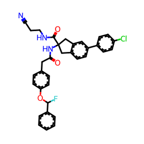 N#CCCNC(=O)C1(NC(=O)Cc2ccc(OC(F)c3ccccc3)cc2)Cc2ccc(-c3ccc(Cl)cc3)cc2C1